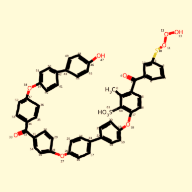 Cc1c(C(=O)c2cccc(SOOO)c2)ccc(Oc2ccc(-c3ccc(Oc4ccc(C(=O)c5ccc(Oc6ccc(-c7ccc(O)cc7)cc6)cc5)cc4)cc3)cc2)c1S(=O)(=O)O